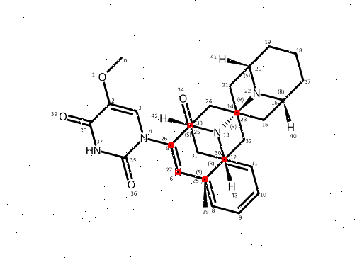 COc1cn(-c2nc3ccccc3n([C@H]3C[C@H]4CCC[C@@H](C3)N4[C@@H]3C[C@H]4CC[C@H](C)[C@H](C4)C3)c2=O)c(=O)[nH]c1=O